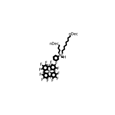 Fc1c(F)c(F)c([B-](c2c(F)c(F)c(F)c(F)c2F)(c2c(F)c(F)c(F)c(F)c2F)c2c(F)c(F)c(F)c(F)c2F)c(F)c1F.[2H]C[N+](CCCCCCCCCCCCCC)(CCCCCCCCCCCCCCCCCCC)c1ccccc1